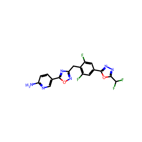 Nc1ccc(-c2nc(Cc3c(F)cc(-c4nnc(C(F)F)o4)cc3F)no2)cn1